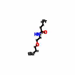 CC(C)CCC(=O)NCCOCCC(C)(C)C